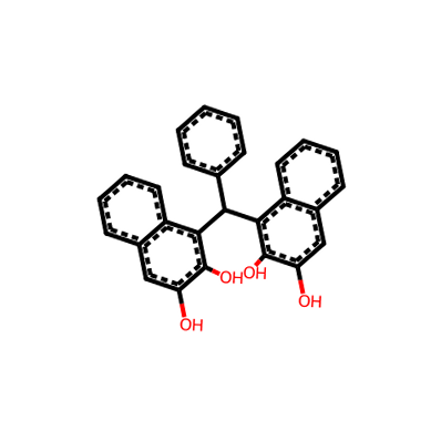 Oc1cc2ccccc2c(C(c2ccccc2)c2c(O)c(O)cc3ccccc23)c1O